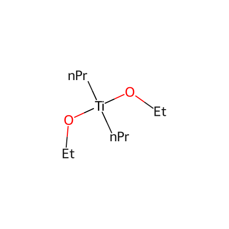 CC[CH2][Ti]([CH2]CC)([O]CC)[O]CC